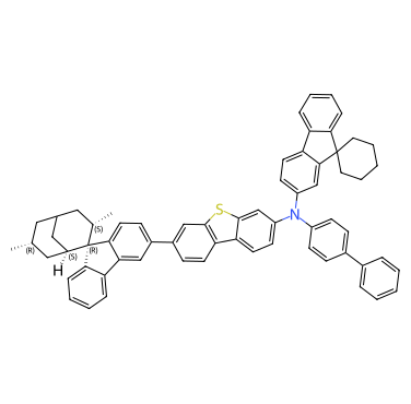 C[C@@H]1CC2C[C@H](C1)[C@@]1(c3ccccc3-c3cc(-c4ccc5c(c4)sc4cc(N(c6ccc(-c7ccccc7)cc6)c6ccc7c(c6)C6(CCCCC6)c6ccccc6-7)ccc45)ccc31)[C@@H](C)C2